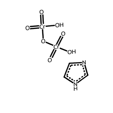 [O]=[Cr](=[O])([OH])[O][Cr](=[O])(=[O])[OH].c1c[nH]cn1